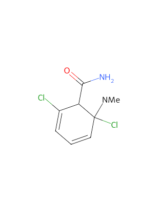 CNC1(Cl)C=CC=C(Cl)C1C(N)=O